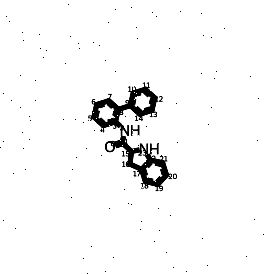 O=C(Nc1ccccc1-c1ccccc1)C1Cc2ccccc2N1